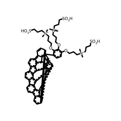 CN1CC23C4=c5ccc6c7ccc8c9ccc%10c%11ccc%12c%13c(c%14c%15c2c5c6c2c7c8c5c9c%10c(c%13%11)c%14c5c%152)C3(C=%12C=C4)C1c1ccc(OCCC[N+](C)(C)CCCS(=O)(=O)O)c(OCCC[N+](C)(C)CCCS(=O)(=O)O)c1OCCC[N+](C)(C)CCCS(=O)(=O)O